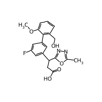 COc1cccc(CO)c1-c1cc(F)cc(C(CC(=O)O)c2nnc(C)o2)c1